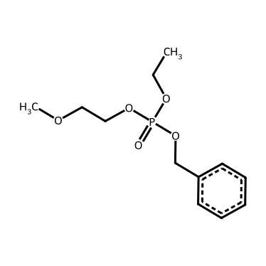 CCOP(=O)(OCCOC)OCc1ccccc1